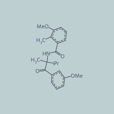 COc1cccc(C(=O)C(C)(NC(=O)c2cccc(OC)c2C)C(C)C)c1